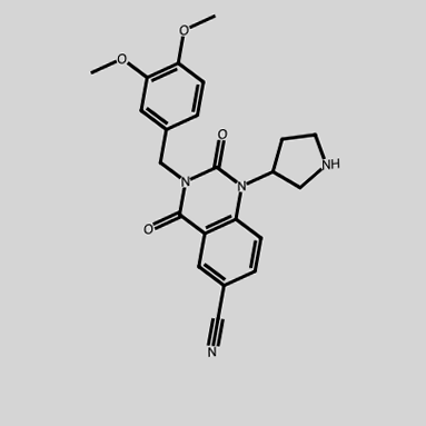 COc1ccc(Cn2c(=O)c3cc(C#N)ccc3n(C3CCNC3)c2=O)cc1OC